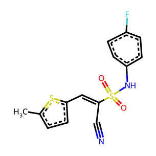 Cc1ccc(C=C(C#N)S(=O)(=O)Nc2ccc(F)cc2)s1